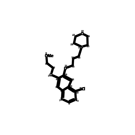 COCCOc1cc2ncnc(Cl)c2cc1OCCCN1CCOCC1